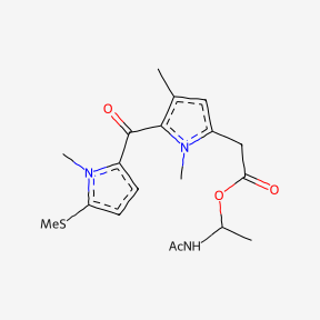 CSc1ccc(C(=O)c2c(C)cc(CC(=O)OC(C)NC(C)=O)n2C)n1C